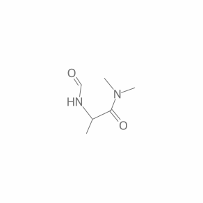 CC(NC=O)C(=O)N(C)C